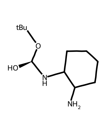 CC(C)(C)O[C@H](O)NC1CCCCC1N